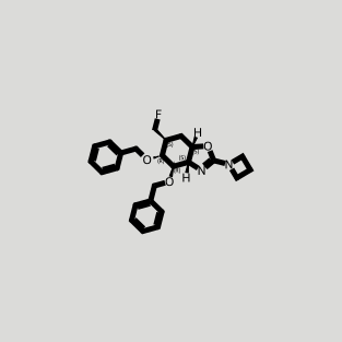 FC[C@H]1C[C@@H]2OC(N3CCC3)=N[C@@H]2[C@@H](OCc2ccccc2)[C@@H]1OCc1ccccc1